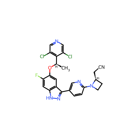 C[C@@H](Oc1cc2c(-c3ccc(N4CC[C@@H]4CC#N)nc3)n[nH]c2cc1F)c1c(Cl)cncc1Cl